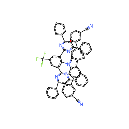 N#Cc1cccc(-c2ccc3c4ccc(-c5cccc(C#N)c5)cc4n(-c4c(-c5nc(-c6ccccc6)cc(-c6ccccc6)n5)cc(C(F)(F)F)cc4-c4nc(-c5ccccc5)cc(-c5ccccc5)n4)c3c2)c1